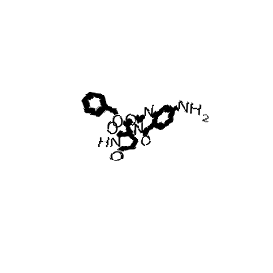 Cc1nc2cc(N)ccc2c(=O)n1[C@]1(C(=O)OCc2ccccc2)CCC(=O)NC1=O